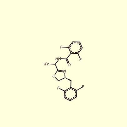 CC(C)C(NC(=O)c1c(F)cccc1F)C1=N[C@@H](Cc2c(F)cccc2F)CO1